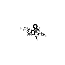 COC(=O)OC1=C(C)NC(CBr)=C(OC(=O)OC)C1c1ccccc1C(F)(F)F